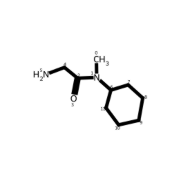 CN(C(=O)CN)C1CCCCC1